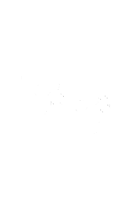 Cn1c(=O)n(Cc2ccc(-c3ccccc3)c(-c3nnn[nH]3)c2)c(=O)c2cc(C(=O)O)ccc21